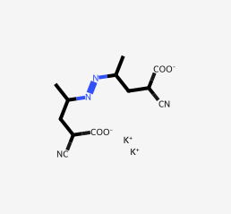 CC(CC(C#N)C(=O)[O-])N=NC(C)CC(C#N)C(=O)[O-].[K+].[K+]